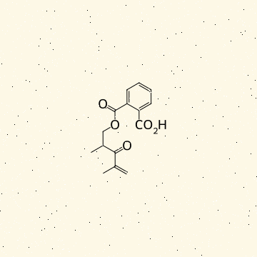 C=C(C)C(=O)C(C)COC(=O)c1ccccc1C(=O)O